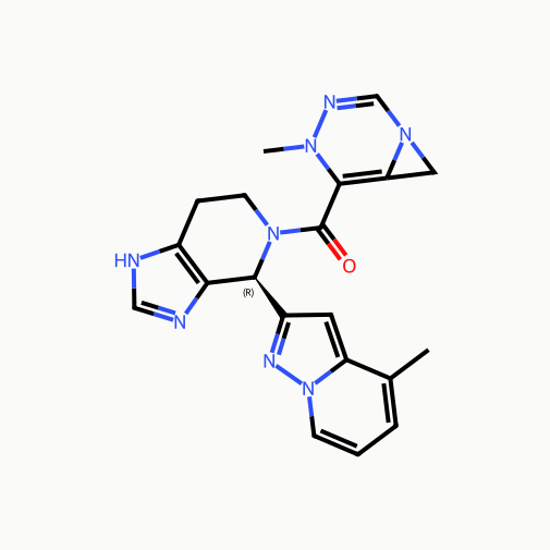 Cc1cccn2nc([C@H]3c4nc[nH]c4CCN3C(=O)C3=C4CN4C=NN3C)cc12